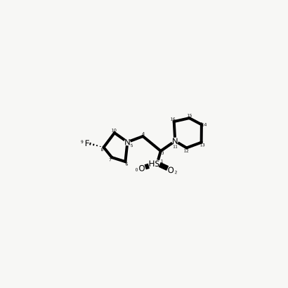 O=[SH](=O)C(CN1CC[C@H](F)C1)N1CC[CH]CC1